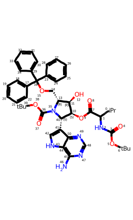 CC(C)C(NC(=O)OC(C)(C)C)C(=O)O[C@@H]1[C@H](O)[C@@H](COC(c2ccccc2)(c2ccccc2)c2ccccc2)N(C(=O)OC(C)(C)C)[C@H]1c1c[nH]c2c(N)ncnc12